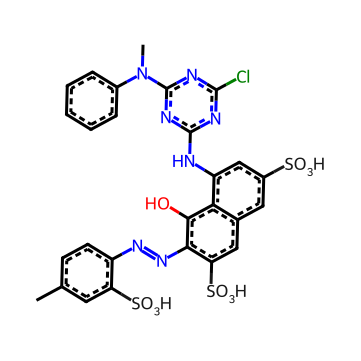 Cc1ccc(N=Nc2c(S(=O)(=O)O)cc3cc(S(=O)(=O)O)cc(Nc4nc(Cl)nc(N(C)c5ccccc5)n4)c3c2O)c(S(=O)(=O)O)c1